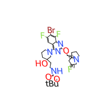 CC(C)(C)OC(=O)NCCC1(O)CCCN(c2nc(OC[C@@]34CCCN3C[C@H](F)C4)nc3c(F)c(Br)c(F)cc23)C1